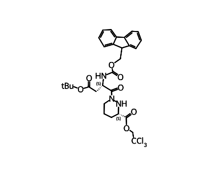 CC(C)(C)OC(=O)C[C@H](NC(=O)OCC1c2ccccc2-c2ccccc21)C(=O)N1CCC[C@@H](C(=O)OCC(Cl)(Cl)Cl)N1